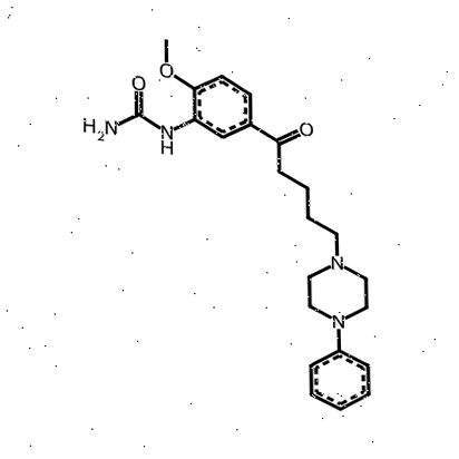 COc1ccc(C(=O)CCCCN2CCN(c3ccccc3)CC2)cc1NC(N)=O